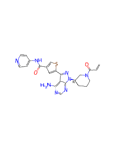 C=CC(=O)N1CCC[C@@H](n2nc(-c3cc(C(=O)Nc4ccncc4)cs3)c3c(N)ncnc32)C1